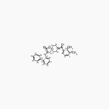 Cc1cccc(C(=O)N2CCC3(CC2)CN(Cc2ccccc2-c2ccccc2)C(=O)O3)c1C